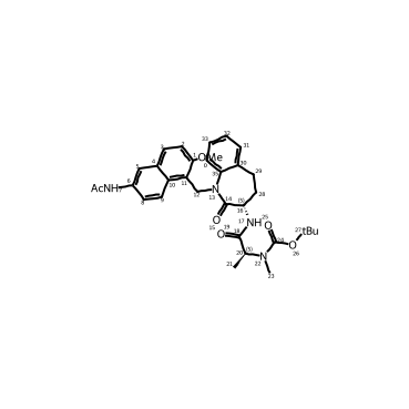 COc1ccc2cc(NC(C)=O)ccc2c1CN1C(=O)[C@@H](NC(=O)[C@H](C)N(C)C(=O)OC(C)(C)C)CCc2ccccc21